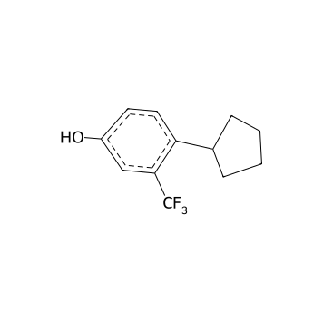 Oc1ccc(C2CCCC2)c(C(F)(F)F)c1